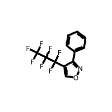 FC(F)(F)C(F)(F)C(F)(F)c1conc1-c1ccccc1